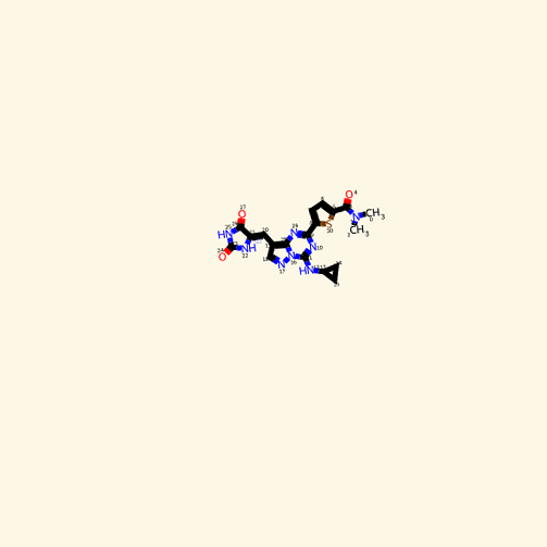 CN(C)C(=O)c1ccc(-c2nc(NC3CC3)n3ncc(/C=C4\NC(=O)NC4=O)c3n2)s1